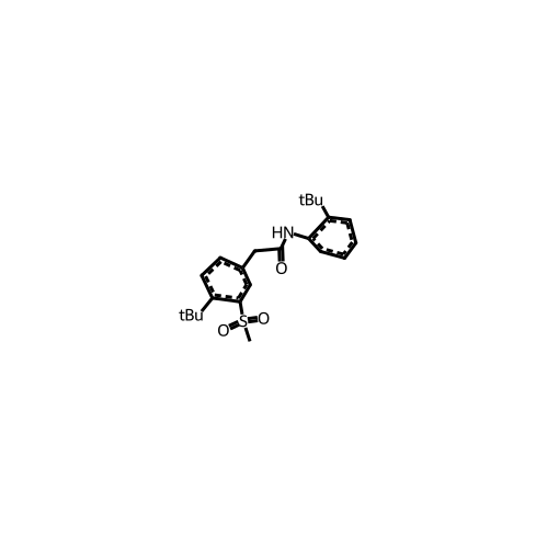 CC(C)(C)c1ccccc1NC(=O)Cc1ccc(C(C)(C)C)c(S(C)(=O)=O)c1